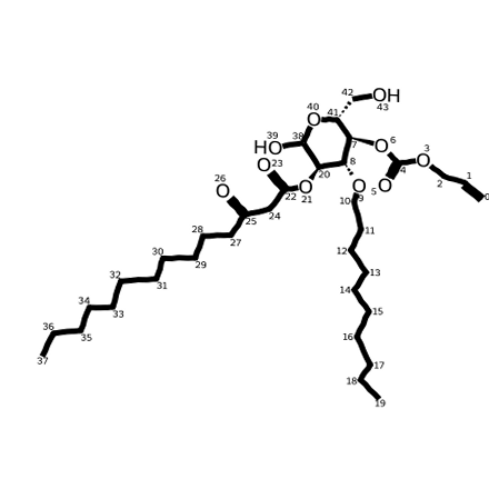 C=CCOC(=O)O[C@H]1[C@H](OCCCCCCCCCC)[C@@H](OC(=O)CC(=O)CCCCCCCCCCC)C(O)O[C@@H]1CO